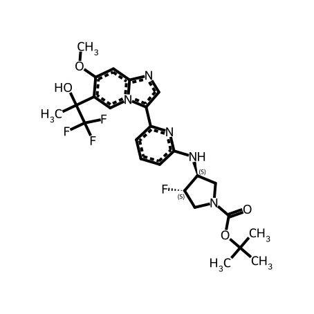 COc1cc2ncc(-c3cccc(N[C@H]4CN(C(=O)OC(C)(C)C)C[C@@H]4F)n3)n2cc1C(C)(O)C(F)(F)F